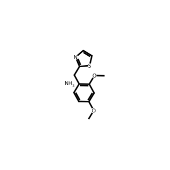 COc1ccc(Cc2nccs2)c(OC)c1.N